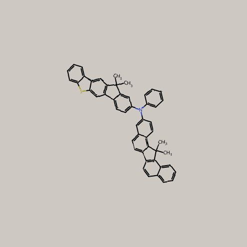 CC1(C)c2cc(N(c3ccccc3)c3ccc4c5c(ccc4c3)-c3ccc4ccccc4c3C5(C)C)ccc2-c2cc3sc4ccccc4c3cc21